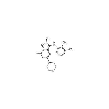 Cc1nc2c(I)cc(N3CCOCC3)nn2c1Nc1cccc(C(F)(F)F)c1C